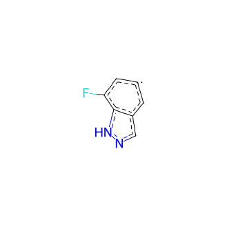 Fc1c[c]cc2cn[nH]c12